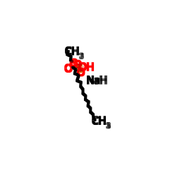 CCCCCCCCCCCCCCCCC(C(=O)OCCCC)S(=O)(=O)O.[NaH]